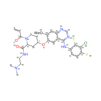 C=CC(=O)N1CCC(Oc2cc3c(Nc4ccc(F)c(Cl)c4F)ncnc3cc2OC)CC1C(=O)NCCN(C)C